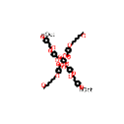 CCCCCCCCOc1ccc(/C=C/C(=O)Oc2ccc(C(=O)Oc3cc(OC(=O)c4ccc(OCCCCCCC5CO5)cc4)c(OC(=O)c4ccc(OC(=O)/C=C/c5ccc(OCCCCCCCC)cc5)cc4)cc3OC(=O)c3ccc(OCCCCCCC4CO4)cc3)cc2)cc1